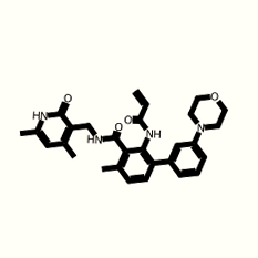 C=CC(=O)Nc1c(-c2cccc(N3CCOCC3)c2)ccc(C)c1C(=O)NCc1c(C)cc(C)[nH]c1=O